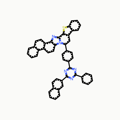 c1ccc(-c2nc(-c3ccc(-c4cc5c6ccccc6sc5c5nc6c7ccc8ccccc8c7ccc6n45)cc3)nc(-c3ccc4ccccc4c3)n2)cc1